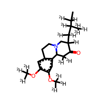 [2H]C([2H])([2H])Oc1cc2c(cc1OC([2H])([2H])[2H])C1N(CC2)CC([2H])(C([2H])([2H])C([2H])(C([2H])([2H])[2H])C([2H])([2H])C)C(=O)C1([2H])[2H]